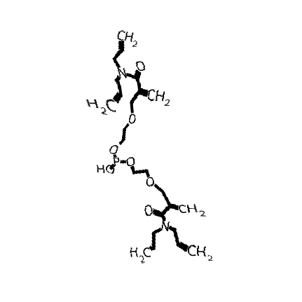 C=CCN(CC=C)C(=O)C(=C)COCCOP(O)OCCOCC(=C)C(=O)N(CC=C)CC=C